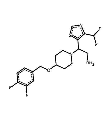 NCC(c1scnc1C(F)F)N1CCC(OCc2ccc(F)c(F)c2)CC1